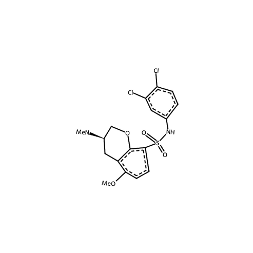 CN[C@H]1COc2c(S(=O)(=O)Nc3ccc(Cl)c(Cl)c3)ccc(OC)c2C1